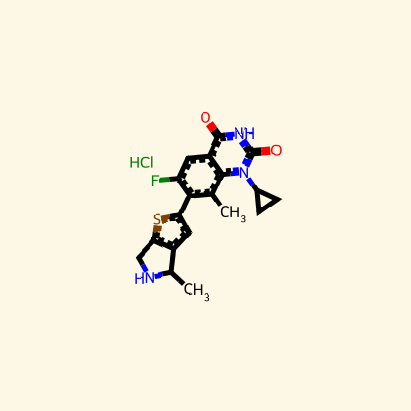 Cc1c(-c2cc3c(s2)CNC3C)c(F)cc2c(=O)[nH]c(=O)n(C3CC3)c12.Cl